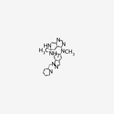 CN(c1ccc2c(cnn2Cc2ccccn2)c1)c1ncnc2c1=CC(C)(N)NC=2